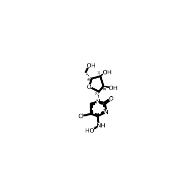 O=c1nc(NO)c(Cl)cn1[C@@H]1O[C@H](CO)[C@@H](O)[C@H]1O